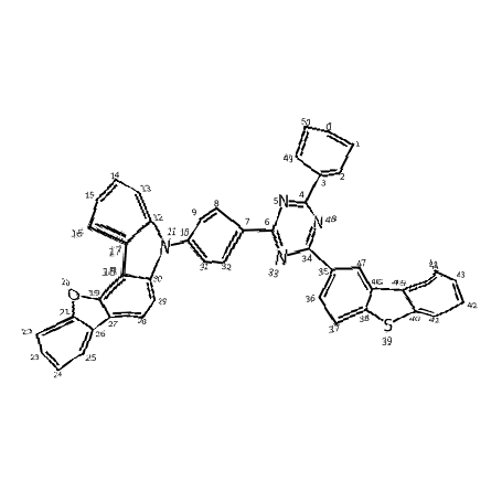 c1ccc(-c2nc(-c3ccc(-n4c5ccccc5c5c6oc7ccccc7c6ccc54)cc3)nc(-c3ccc4sc5ccccc5c4c3)n2)cc1